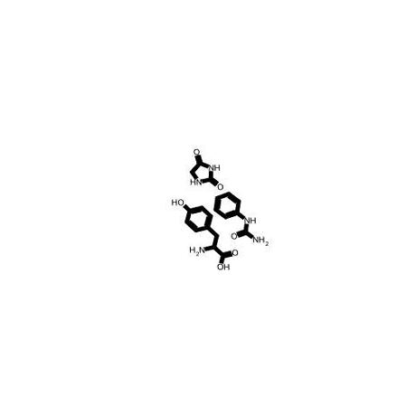 NC(=O)Nc1ccccc1.NC(Cc1ccc(O)cc1)C(=O)O.O=C1CNC(=O)N1